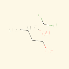 CCCCO.CO.ClCCl